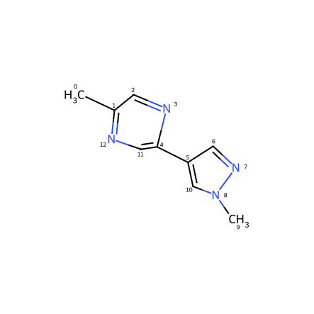 Cc1cnc(-c2cnn(C)c2)cn1